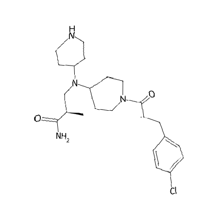 C[C@H](CN(C1CCNCC1)C1CCN(C(=O)[CH]Cc2ccc(Cl)cc2)CC1)C(N)=O